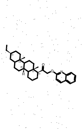 CC[C@H]1CC[C@@]2(C)C(CC[C@@H]3C2CC[C@@]2(C)C3CCC[C@@H]2C(=O)COc2ccc3ccccc3n2)C1